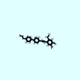 CCCc1ccc(-c2ccc(C#Cc3cc(F)c(C)cc3CC)cc2)cc1